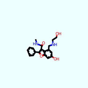 CNC(=O)c1c(-c2ccccc2)oc2cc(O)cc(CNCCO)c12